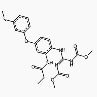 CCC(=O)Nc1cc(Oc2cccc(SC)c2)ccc1NC(=NC(=O)OC)NC(=O)OC